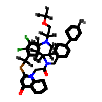 [2H]C([2H])([2H])OCC([2H])([2H])N1C([2H])([2H])C([2H])([2H])C([2H])(N(Cc2ccc(-c3ccc(C(F)(F)F)cc3)cc2)C(=O)Cn2c(SC([2H])([2H])c3cccc(F)c3F)cc(=O)c3ccccc32)C([2H])([2H])C1([2H])[2H]